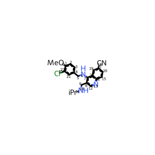 COc1ccc(CNc2c(CNC(C)C)cnc3ccc(C#N)cc23)cc1Cl